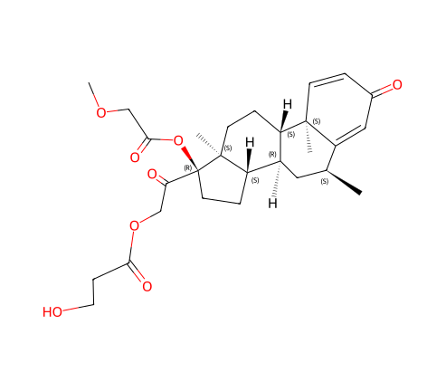 COCC(=O)O[C@]1(C(=O)COC(=O)CCO)CC[C@H]2[C@@H]3C[C@H](C)C4=CC(=O)C=C[C@]4(C)[C@H]3CC[C@@]21C